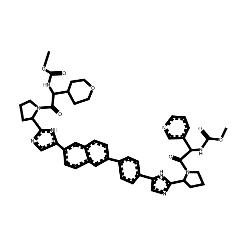 COC(=O)NC(C(=O)N1CCCC1c1ncc(-c2ccc(-c3ccc4cc(-c5cnc(C6CCCN6C(=O)C(NC(=O)OC)C6CCOCC6)[nH]5)ccc4c3)cc2)[nH]1)c1cccnc1